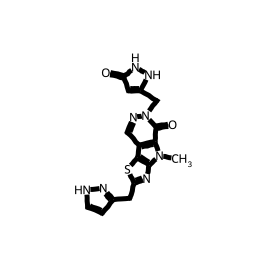 Cn1c2nc(Cc3cc[nH]n3)sc2c2cnn(Cc3cc(=O)[nH][nH]3)c(=O)c21